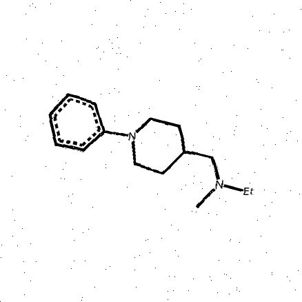 CCN(C)CC1CCN(c2ccccc2)CC1